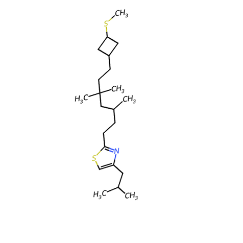 CSC1CC(CCC(C)(C)CC(C)CCc2nc(CC(C)C)cs2)C1